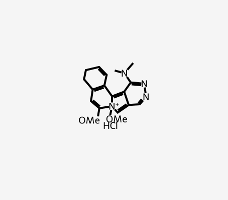 COC1=CC2=C(C=CCC2)C2=c3c(N(C)C)nncc3=C[N+]12OC.Cl